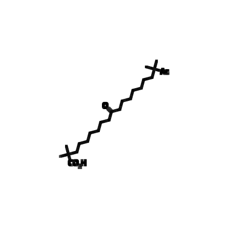 CC(=O)C(C)(C)CCCCCCCC(=O)CCCCCCCC(C)(C)C(=O)O